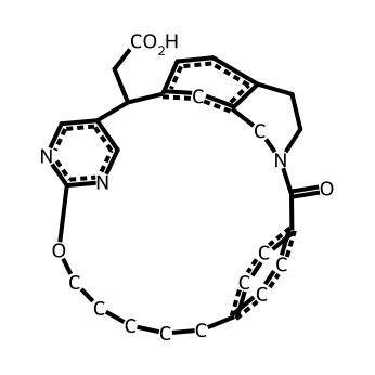 O=C(O)CC1c2cnc(nc2)OCCCCCc2ccc(cc2)C(=O)N2CCc3ccc1cc3C2